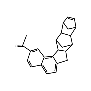 CC(=O)c1ccc2ccc3c(c2c1)C1C(C3)C2CC1C1C3C=CC(C3)C21